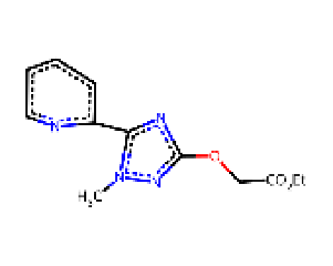 CCOC(=O)COc1nc(-c2ccccn2)n(C)n1